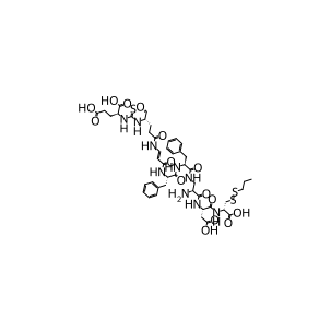 CCCSSC[C@@H](NC(=O)[C@H](CC(=O)O)NC(=O)[C@@H](N)CNC(=O)[C@H](Cc1ccccc1)NC(=O)[C@H](Cc1ccccc1)NC(=O)/C=C/NC(=O)CC[C@@H](C=O)NC(=S)N[C@@H](CCC(=O)O)C(=O)O)C(=O)O